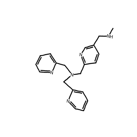 CNCc1ccc(CN(Cc2ccccn2)Cc2ccccn2)nc1